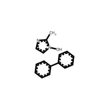 Cc1nccn1O.c1ccc(-c2ccccc2)cc1